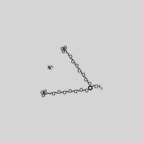 CCc1ccc(OCCOCCOCCOCCOCCOCCOCCCCS(=O)(=O)[O-])cc1OCCOCCOCCOCCOCCOCCOCCCCS(=O)(=O)[O-].[K+].[K+]